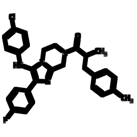 Cc1ccc(CC(C)C(=O)N2CCn3c(nc(-c4ccc(F)cc4)c3Nc3ccc(Cl)cc3)C2)cc1